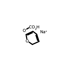 C1=CCOC=C1.O=C([O-])O.[Na+]